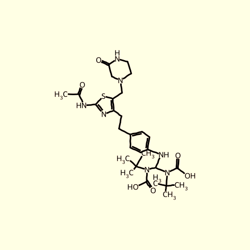 CC(=O)Nc1nc(CCc2ccc(NC(N(C(=O)O)C(C)(C)C)N(C(=O)O)C(C)(C)C)cc2)c(CN2CCNC(=O)C2)s1